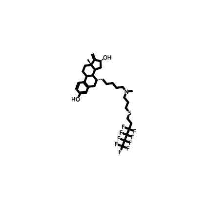 C=C1[C@H](O)CC2C3C(CC[C@]12C)c1ccc(O)cc1C[C@H]3CCCCCN(C)CCCSCCC(F)(F)C(F)(F)C(F)(F)C(F)(F)F